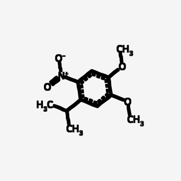 COc1cc(C(C)C)c([N+](=O)[O-])cc1OC